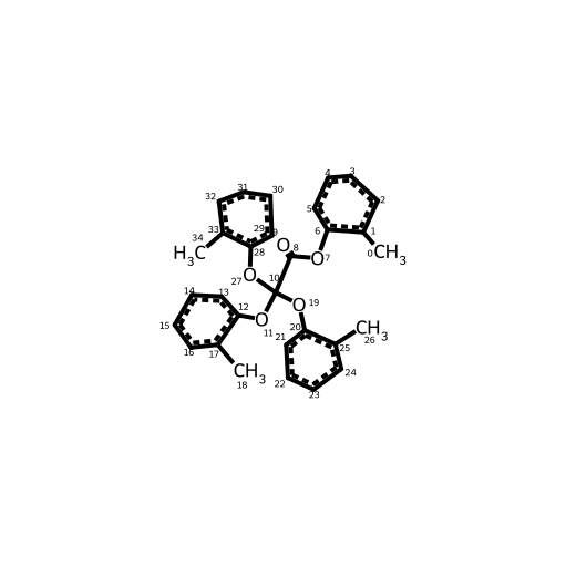 Cc1ccccc1OC(=O)C(Oc1ccccc1C)(Oc1ccccc1C)Oc1ccccc1C